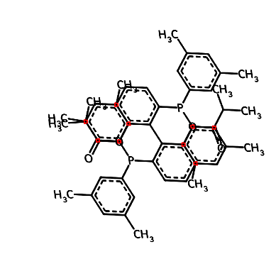 Cc1cc(C)cc(P(c2cc(C)cc(C)c2)c2cccc(OC(=O)C(C)C)c2-c2c(OC(=O)C(C)C)cccc2P(c2cc(C)cc(C)c2)c2cc(C)cc(C)c2)c1